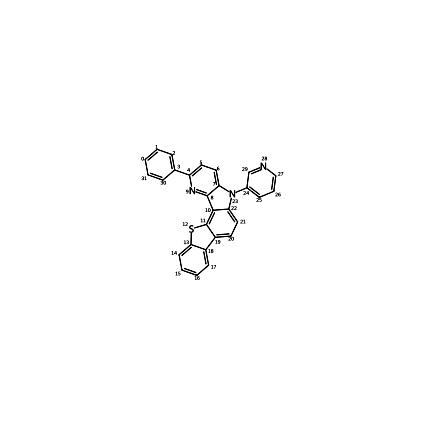 c1ccc(-c2ccc3c(n2)c2c4sc5ccccc5c4ccc2n3-c2cccnc2)cc1